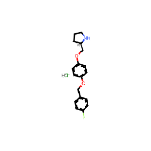 Fc1ccc(COc2ccc(OC[C@H]3CCCN3)cc2)cc1.[Cl-].[H+]